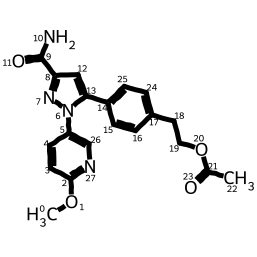 COc1ccc(-n2nc(C(N)=O)cc2-c2ccc(CCOC(C)=O)cc2)cn1